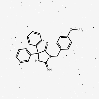 COc1ccc(CN2C(=N)NC(c3ccccc3)(c3ccccc3)C2=O)cc1